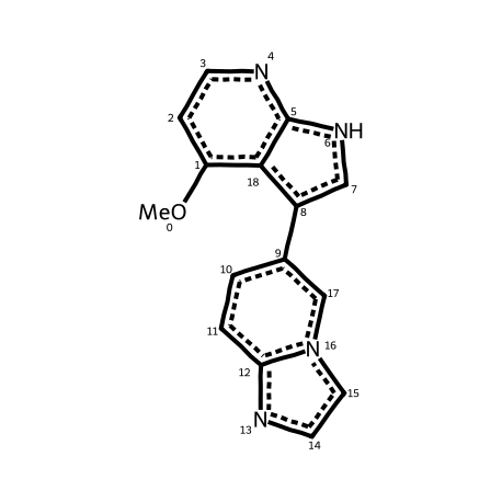 COc1ccnc2[nH]cc(-c3ccc4nccn4c3)c12